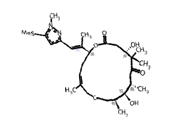 CSc1cc(/C=C(\C)[C@@H]2CC=C(C)CCC[C@H](C)[C@H](O)[C@@H](C)C(=O)C(C)(C)[C@@H](O)CC(=O)O2)nn1C